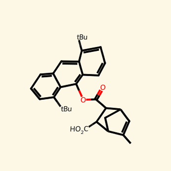 CC1=CC2CC1C(C(=O)O)C2C(=O)Oc1c2cccc(C(C)(C)C)c2cc2cccc(C(C)(C)C)c12